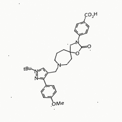 COc1ccc(-c2nn(C(C)(C)C)cc2CN2CCCC3(CC2)CN(c2ccc(C(=O)O)cc2)C(=O)O3)cc1